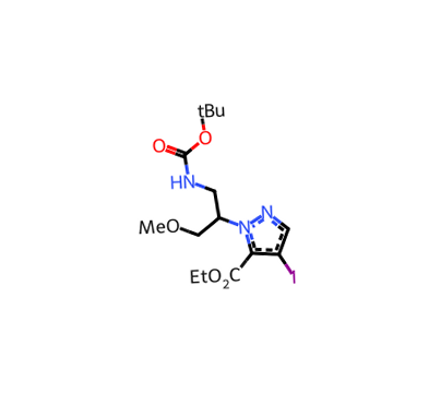 CCOC(=O)c1c(I)cnn1C(CNC(=O)OC(C)(C)C)COC